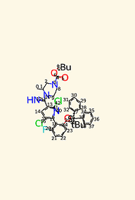 CC1CN(C(=O)OC(C)(C)C)CCN1C(=N)c1cc(Cl)c(-c2c(F)cccc2O[Si](c2ccccc2)(c2ccccc2)C(C)(C)C)nc1Cl